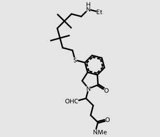 CCNCCC(C)(C)CC(C)(C)CCSc1cccc2c1CN(C(C=O)CCC(=O)NC)C2=O